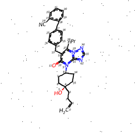 C=CCC[C@]1(O)CC[C@@H](n2c(=O)c(Cc3ccc(-c4ccccc4C#N)cc3)c(CCC)n3ncnc32)CC1